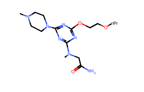 CCCOCCOc1nc(N(C)CC(N)=O)nc(N2CCN(C)CC2)n1